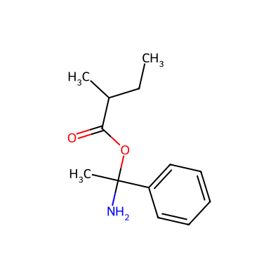 CCC(C)C(=O)OC(C)(N)c1ccccc1